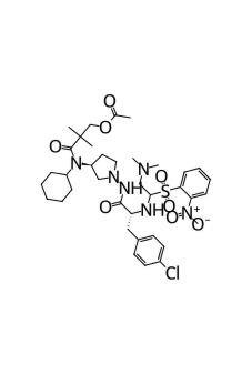 CC(=O)OCC(C)(C)C(=O)N(C1CCCCC1)[C@H]1CCN(NC(=O)[C@@H](Cc2ccc(Cl)cc2)NC(CN(C)C)S(=O)(=O)c2ccccc2[N+](=O)[O-])C1